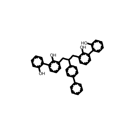 Oc1ccccc1-c1cccc(CC(Cc2cccc(-c3ccccc3O)c2O)c2ccc(-c3ccccc3)cc2)c1O